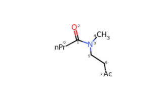 CCCC(=O)N(C)CCC(C)=O